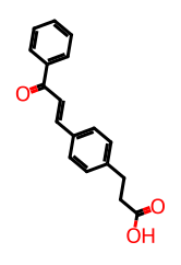 O=C(O)CCc1ccc(C=CC(=O)c2ccccc2)cc1